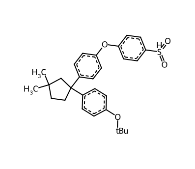 CC1(C)CCC(c2ccc(Oc3ccc([SH](=O)=O)cc3)cc2)(c2ccc(OC(C)(C)C)cc2)C1